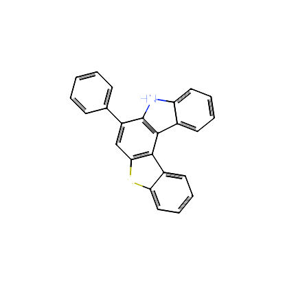 c1ccc(-c2cc3sc4ccccc4c3c3c2[nH]c2ccccc23)cc1